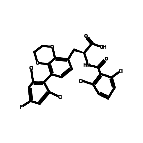 O=C(N[C@@H](Cc1ccc(-c2c(Cl)cc(F)cc2Cl)c2c1OCCO2)C(=O)O)c1c(Cl)cccc1Cl